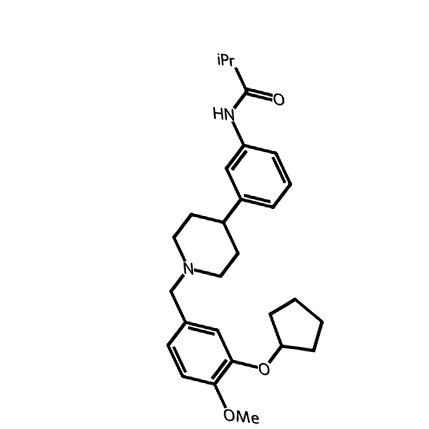 COc1ccc(CN2CCC(c3cccc(NC(=O)C(C)C)c3)CC2)cc1OC1CCCC1